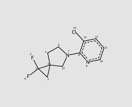 FC1(F)CC12CCN(c1ncccc1Cl)C2